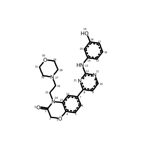 O=C1COc2ccc(-c3ccnc(Nc4cccc(O)c4)n3)cc2N1CCN1CCOCC1